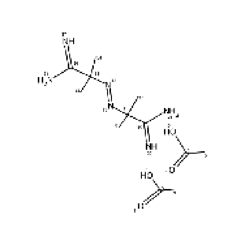 CC(=O)O.CC(=O)O.CC(C)(N=NC(C)(C)C(=N)N)C(=N)N